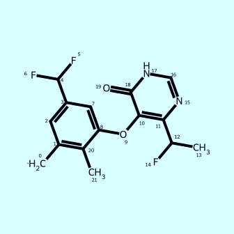 [CH2]c1cc(C(F)F)cc(Oc2c(C(C)F)nc[nH]c2=O)c1C